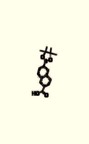 CC1(C)OB(c2ccc3cc(C(=O)O)ccc3c2)OC1(C)C